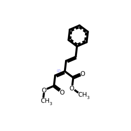 COC(=O)/C=C(/C=Cc1ccccc1)C(=O)OC